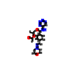 CC(=O)OC(C)C.O=C(Nc1cnnnn1)c1ccc(C=NN2CCOCC2)cc1